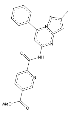 COC(=O)c1ccc(C(=O)Nc2cc(-c3ccccc3)n3nc(C)cc3n2)nc1